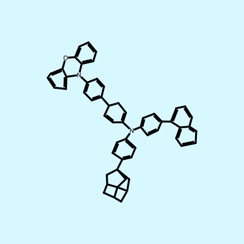 C1=CC(c2ccc(N3c4ccccc4Oc4ccccc43)cc2)CC=C1N(c1ccc(-c2cccc3ccccc23)cc1)c1ccc(C23CC4CC5CC(C2)C54C3)cc1